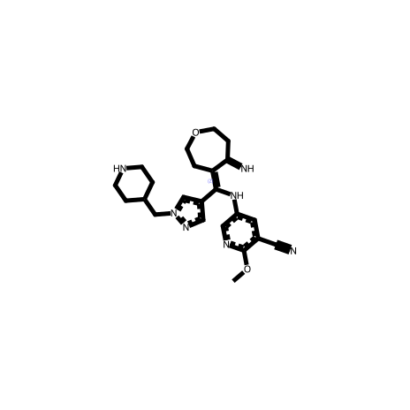 COc1ncc(N/C(=C2/CCOCCC2=N)c2cnn(CC3CCNCC3)c2)cc1C#N